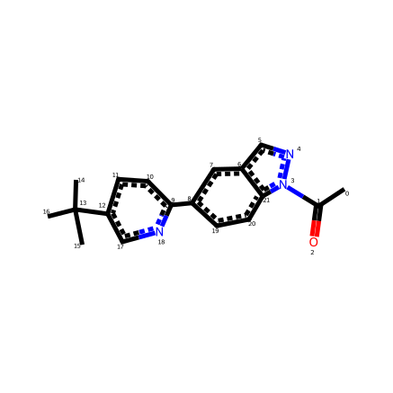 CC(=O)n1ncc2cc(-c3ccc(C(C)(C)C)cn3)ccc21